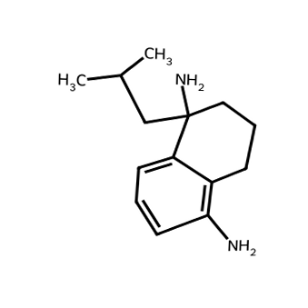 CC(C)CC1(N)CCCc2c(N)cccc21